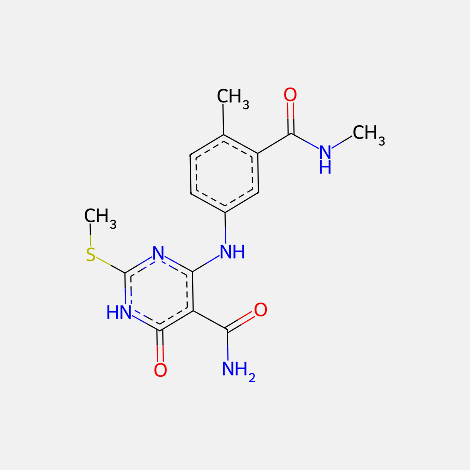 CNC(=O)c1cc(Nc2nc(SC)[nH]c(=O)c2C(N)=O)ccc1C